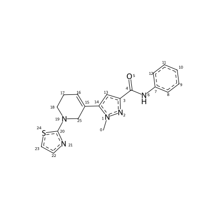 Cn1nc(C(=O)Nc2ccccc2)cc1C1=CCCN(c2nccs2)C1